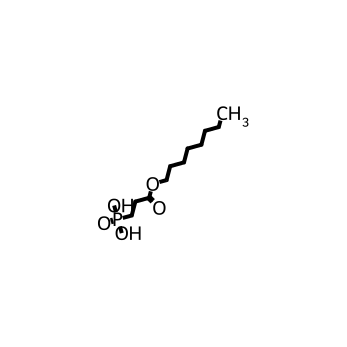 CCCCCCCCOC(=O)CCP(=O)(O)O